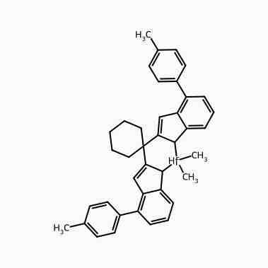 Cc1ccc(-c2cccc3c2C=C2[CH]3[Hf]([CH3])([CH3])[CH]3C(=Cc4c(-c5ccc(C)cc5)cccc43)C23CCCCC3)cc1